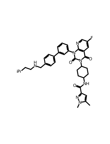 Cc1cc(C(=O)NC2CCC(n3c(=O)c4cc(F)cnc4n(-c4cccc(-c5ccc(CNCCC(C)C)cc5)c4)c3=O)CC2)nn1C